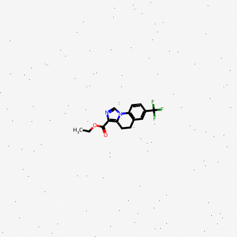 CCOC(=O)c1ncn2c1CCc1cc(C(F)(F)F)ccc1-2